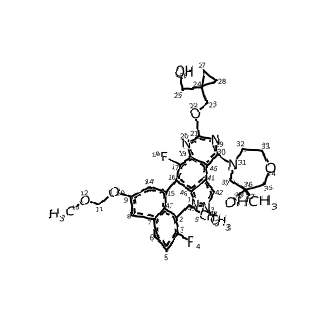 CCc1c(F)ccc2cc(OCOC)cc(-c3c(F)c4nc(OCC5(CO)CC5)nc(N5CCOCC(C)(O)C5)c4c4cn(C)nc34)c12